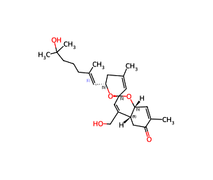 CC1=C[C@]2(C=C(CO)[C@H]3CC(=O)C(C)=C[C@H]3O2)O[C@H](/C=C(\C)CCCC(C)(C)O)C1